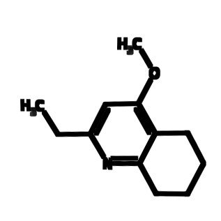 CCc1cc(OC)c2c(n1)CCCC2